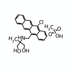 CC(CO)(CO)NCc1c2ccccc2c(Cl)c2cc3ccccc3cc12.CS(=O)(=O)O